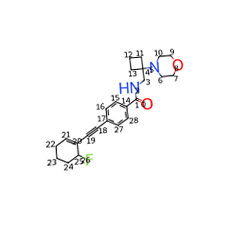 O=C(NCC1(N2CCOCC2)CCC1)c1ccc(C#CC2=CCCCC2F)cc1